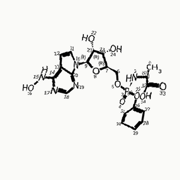 C[C@H](N[P@](=O)(OC[C@H]1O[C@@H](n2ccc3c(NO)ncnc32)[C@H](O)[C@@H]1O)Oc1ccccc1)C(=O)O